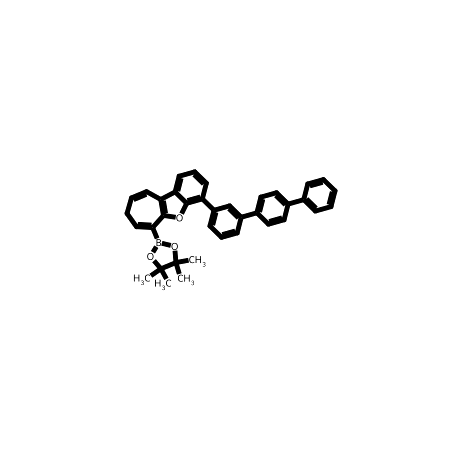 CC1(C)OB(C2=CCC=Cc3c2oc2c(-c4cccc(-c5ccc(-c6ccccc6)cc5)c4)cccc32)OC1(C)C